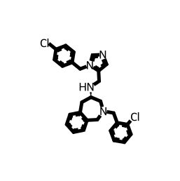 Clc1ccc(Cn2cncc2CN[C@H]2Cc3ccccc3CN(Cc3ccccc3Cl)C2)cc1